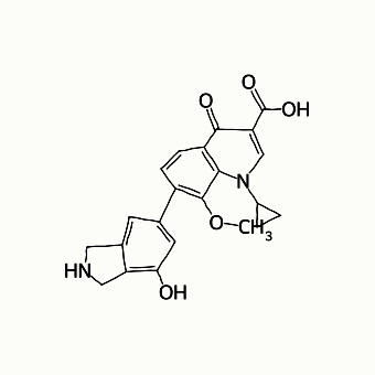 COc1c(-c2cc(O)c3c(c2)CNC3)ccc2c(=O)c(C(=O)O)cn(C3CC3)c12